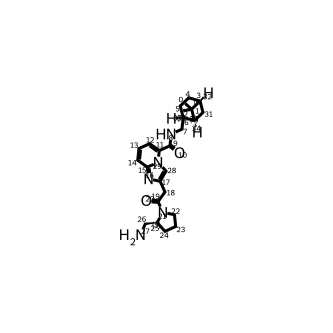 CC1(C)[C@@H]2CC[C@@H](CNC(=O)c3cccc4nc(CC(=O)N5CCC[C@H]5CN)cn34)[C@@H]1C2